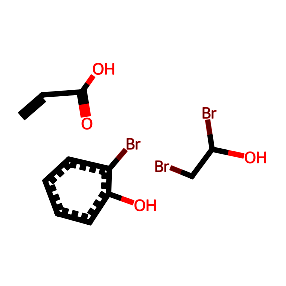 C=CC(=O)O.OC(Br)CBr.Oc1ccccc1Br